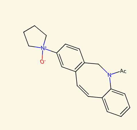 CC(=O)N1Cc2ccc([N+]3([O-])CCCC3)cc2C=Cc2ccccc21